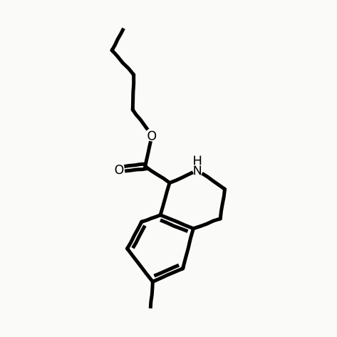 CCCCOC(=O)C1NCCc2cc(C)ccc21